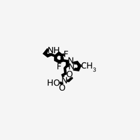 Cc1ccn2c(CC3CN(C(=O)O)CCO3)c(-c3c(F)cc(-c4ccc[nH]4)cc3F)nc2c1